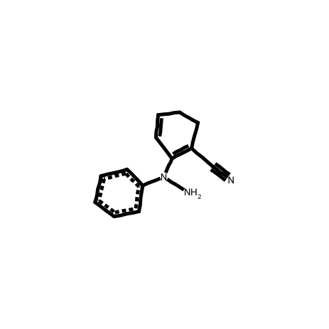 N#CC1=C(N(N)c2ccccc2)C=CCC1